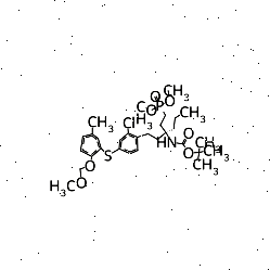 CCC[C@](CCc1ccc(Sc2cc(C)ccc2OCOC)cc1Cl)(CCP(=O)(OC)OC)NC(=O)OC(C)(C)C